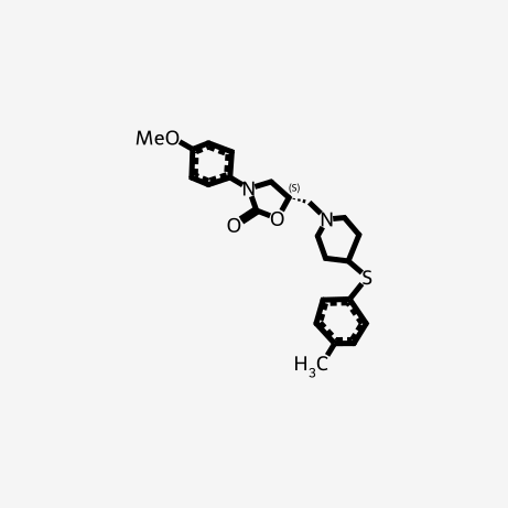 COc1ccc(N2C[C@H](CN3CCC(Sc4ccc(C)cc4)CC3)OC2=O)cc1